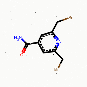 NC(=O)c1cc(CBr)nc(CBr)c1